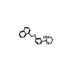 c1cc(SCc2cccc3ccccc23)cc(C2=NCCCN2)c1